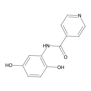 O=C(Nc1cc(O)ccc1O)c1ccncc1